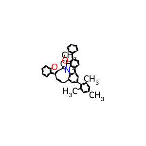 C=C1c2oc3ccccc3c2/C=C\Cc2cc(-c3c(C)cc(C)cc3C)cc3c4ccc(-c5ccccc5)c(OC)c4n1c23